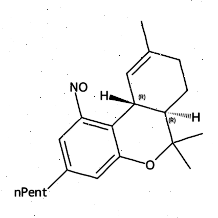 CCCCCc1cc(N=O)c2c(c1)OC(C)(C)[C@@H]1CCC(C)=C[C@@H]21